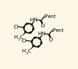 CCCC(C)C(=O)Nc1ccc(C)c(Cl)c1.CCCC(C)C(=O)Nc1ccc(C)c(Cl)c1